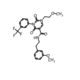 COCCn1cc(C(=O)NCCc2cccc(OC)c2)c(=O)n(-c2cccc(C(F)(F)F)c2)c1=O